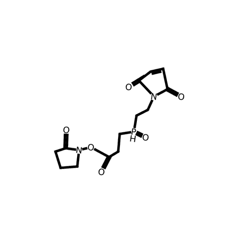 O=C(CC[PH](=O)CCN1C(=O)C=CC1=O)ON1CCCC1=O